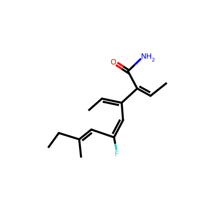 C/C=C(C(N)=O)/C(/C=C(F)\C=C(/C)CC)=C/C